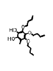 CCCCOc1c(C)c(O)c(O)c(OCCCC)c1OCCCC